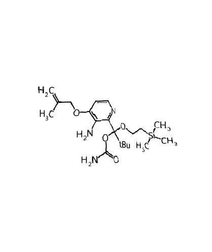 C=C(C)COc1ccnc(C(OCC[Si](C)(C)C)(OC(N)=O)C(C)(C)C)c1N